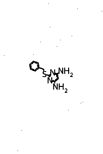 Nc1cc(N)nc(SCc2ccccc2)n1